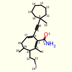 CC1=C(C(N)=O)C(C#CC2(C)CCCCCC2)=CCC(C)C1CCI